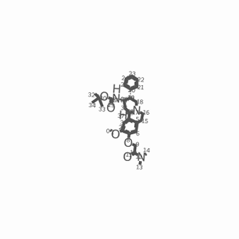 COc1cc2c(cc1OCC(=O)N(C)C)CCN1C[C@@H](c3ccccc3)[C@H](NC(=O)OC(C)(C)C)C[C@H]21